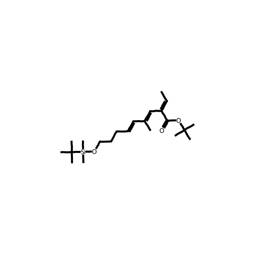 C\C=C(/C=C(C)/C=C/CCCO[Si](C)(C)C(C)(C)C)C(=O)OC(C)(C)C